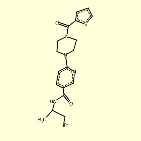 CC(C)CC(C)NC(=O)c1ccc(N2CCN(C(=O)c3cccs3)CC2)nc1